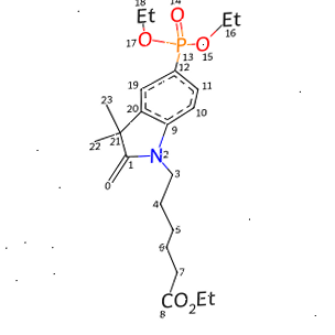 C=C1N(CCCCCC(=O)OCC)c2ccc(P(=O)(OCC)OCC)cc2C1(C)C